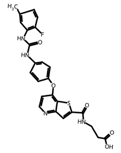 Cc1ccc(F)c(NC(=O)Nc2ccc(Oc3ccnc4cc(C(=O)NCCC(=O)O)sc34)cc2)c1